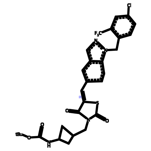 CC(C)(C)OC(=O)NC1CC(CN2C(=O)S/C(=C\c3ccc4c(cnn4Cc4ccc(Cl)cc4C(F)(F)F)c3)C2=O)C1